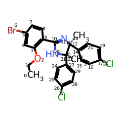 CCOc1cc(Br)ccc1C1=N[C@@](C)(c2ccc(Cl)cc2)[C@@](C)(c2ccc(Cl)cc2)N1